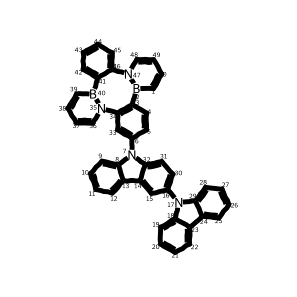 C1=CB2c3ccc(-n4c5ccccc5c5cc(-n6c7ccccc7c7ccccc76)ccc54)cc3N3C=CC=CB3c3ccccc3N2C=C1